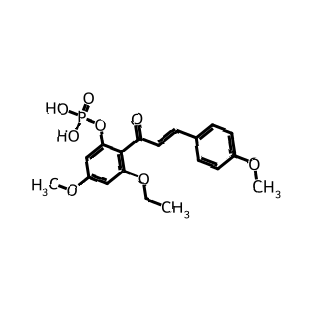 CCOc1cc(OC)cc(OP(=O)(O)O)c1C(=O)C=Cc1ccc(OC)cc1